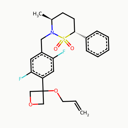 C=CCOC1(c2cc(F)c(CN3[C@@H](C)CC[C@H](c4ccccc4)S3(=O)=O)cc2F)COC1